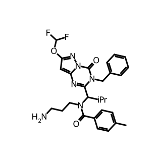 Cc1ccc(C(=O)N(CCCN)C(c2nc3cc(OC(F)F)nn3c(=O)n2Cc2ccccc2)C(C)C)cc1